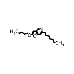 CCCCCCCc1cc2oc(OCCCCC)cc2cn1